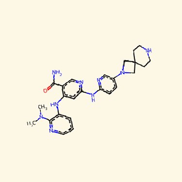 CN(C)c1ncccc1Nc1cc(Nc2ccc(N3CC4(CCNCC4)C3)cn2)ncc1C(N)=O